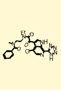 CCN(CCN(C)C(=O)c1ccccc1)C(=O)C(=O)c1c[nH]c2c(-c3nnn[nH]3)ncc(Cl)c12